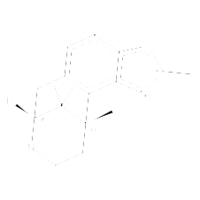 Cc1nc2c3c(ccc2o1)C[C@H]1NCC[C@]3(C)C1(C)C